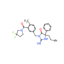 CC(C)CCC1(c2ccccc2)NC(=N)N(Cc2ccc(C(F)(F)F)c(C(=O)N3CCC(F)(F)C3)c2)C1=O